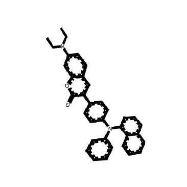 CCN(CC)c1ccc2cc(-c3ccc(N(c4ccccc4)c4cccc5ccccc45)cc3)c(=O)oc2c1